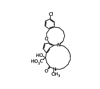 CN1CCCCCCCN2CCCCc3cc(Cl)ccc3COc3ccc(cc32)[C@](O)(C(=O)O)CC1=O